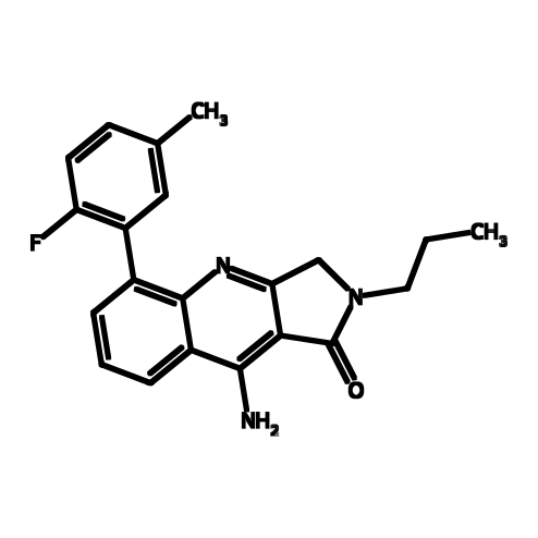 CCCN1Cc2nc3c(-c4cc(C)ccc4F)cccc3c(N)c2C1=O